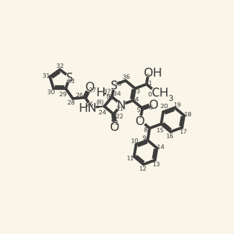 CC(O)C1=C(C(=O)OC(c2ccccc2)c2ccccc2)N2C(=O)[C@@H](NC(=O)Cc3cccs3)[C@H]2SC1